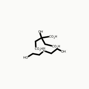 O=C(O)CC(O)(CC(=O)O)C(=O)O.OCCNCCO